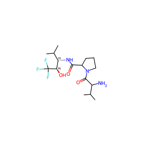 CC(C)C(N)C(=O)N1CCCC1C(=O)N[C@@H](C(C)C)[C@@H](O)C(F)(F)F